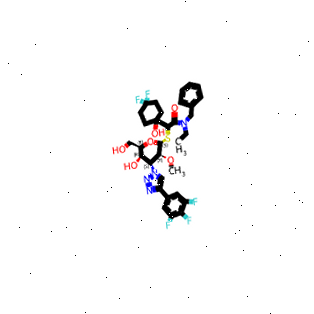 CCN(Cc1ccccc1)C(=O)C(S[C@@H]1O[C@H](CO)[C@H](O)[C@H](n2cc(-c3cc(F)c(F)c(F)c3)nn2)[C@H]1OC)C1(O)CCC(F)(F)CC1